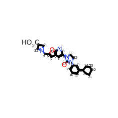 O=C(O)C1CN(Cc2cc3cc(N4CCN(c5cccc(C6CCCCC6)c5)C4=O)cnc3o2)C1